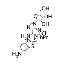 CCCC1(Cl)N=c2c(ncn2[C@@H]2O[C@H](CO)[C@@H](O)[C@H]2O)=C(N)N1Sc1nc2ccc(N)cc2s1